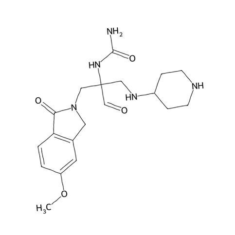 COc1ccc2c(c1)CN(CC(C=O)(CNC1CCNCC1)NC(N)=O)C2=O